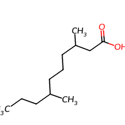 CCCC(C)CCCC(C)CC(=O)O